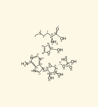 CSCC[C@H](N)C(=O)O.Nc1ncnc2c1ncn2[C@@H]1O[C@H](COP(=O)(O)O)[C@@H](O)[C@H]1O.Oc1ccco1